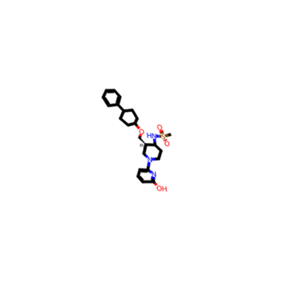 CS(=O)(=O)NC1CCN(c2cccc(O)n2)C[C@H]1COC1CCC(c2ccccc2)CC1